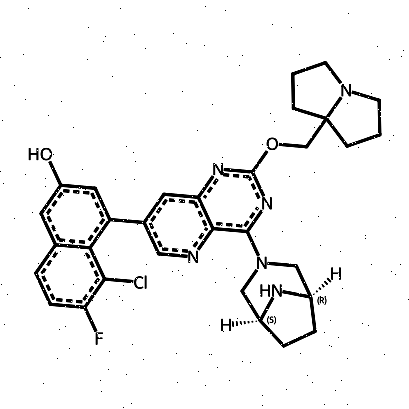 Oc1cc(-c2cnc3c(N4C[C@H]5CC[C@@H](C4)N5)nc(OCC45CCCN4CCC5)nc3c2)c2c(Cl)c(F)ccc2c1